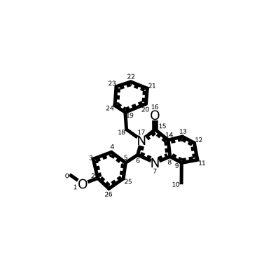 COc1ccc(-c2nc3c(C)cccc3c(=O)n2Cc2ccccc2)cc1